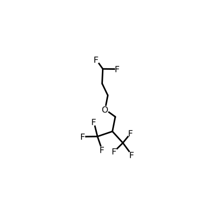 FC(F)CCOCC(C(F)(F)F)C(F)(F)F